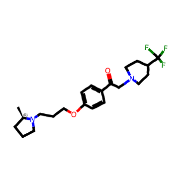 C[C@@H]1CCCN1CCCOc1ccc(C(=O)CN2CCC(C(F)(F)F)CC2)cc1